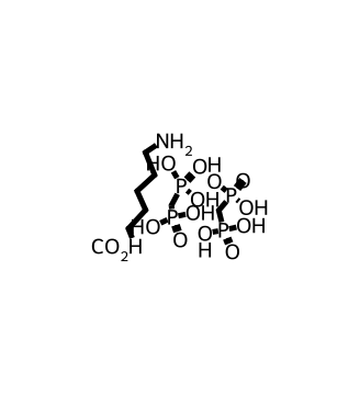 NCCCCCC(=O)O.O=P(O)(O)CP(=O)(O)O.O=P(O)(O)CP(=O)(O)O